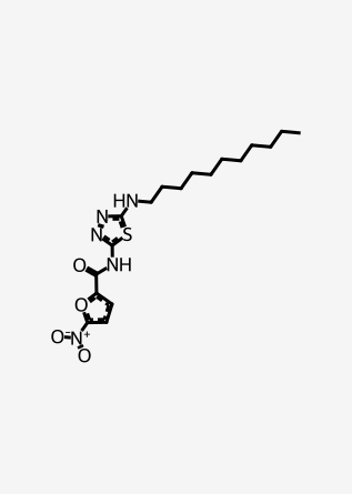 CCCCCCCCCCCNc1nnc(NC(=O)c2ccc([N+](=O)[O-])o2)s1